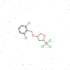 Clc1cccc(Cl)c1COC1COC(C(Cl)(Cl)Cl)C1